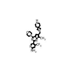 Cc1c(CN2CC3(CCNCC3)C2)cc2c(N3CCOCC3)nc(-c3cnc(N)cc3C(F)(F)F)nn12